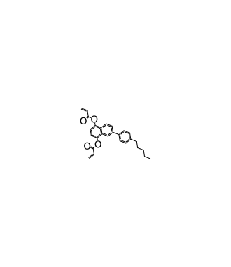 C=CC(=O)Oc1ccc(OC(=O)C=C)c2cc(-c3ccc(CCCCC)cc3)ccc12